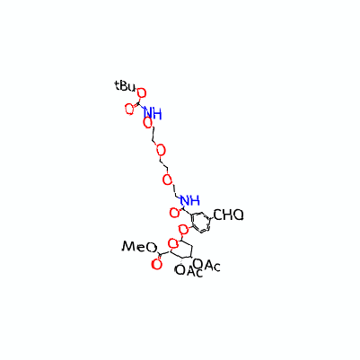 COC(=O)C1O[C@@H](Oc2ccc(C=O)cc2C(=O)NCCOCCOCCONC(=O)OC(C)(C)C)C[C@@H](OC(C)=O)[C@@H]1OC(C)=O